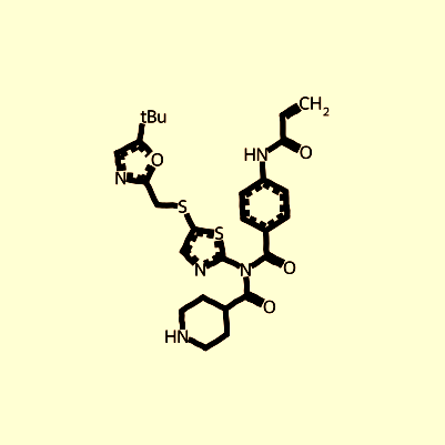 C=CC(=O)Nc1ccc(C(=O)N(C(=O)C2CCNCC2)c2ncc(SCc3ncc(C(C)(C)C)o3)s2)cc1